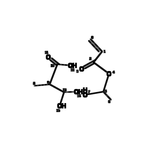 C=CC(=O)OC(C)O.CC(C(=O)O)C(O)O